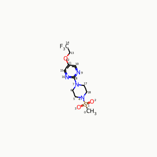 CS(=O)(=O)N1CCN(c2ncc(OCC(F)(F)F)cn2)CC1